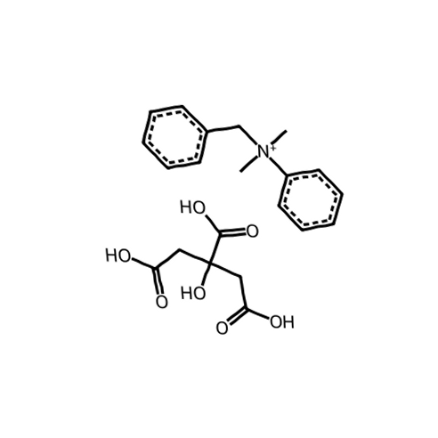 C[N+](C)(Cc1ccccc1)c1ccccc1.O=C(O)CC(O)(CC(=O)O)C(=O)O